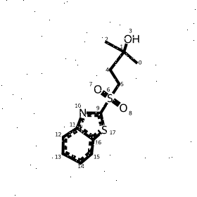 CC(C)(O)CCS(=O)(=O)c1nc2ccccc2s1